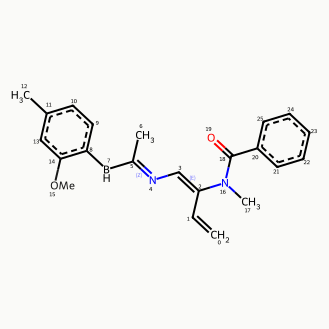 C=C/C(=C\N=C(/C)Bc1ccc(C)cc1OC)N(C)C(=O)c1ccccc1